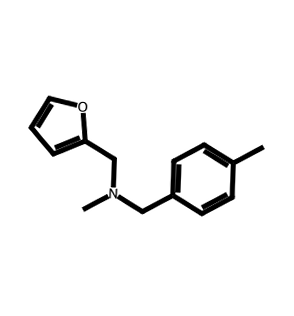 Cc1ccc(CN(C)Cc2ccco2)cc1